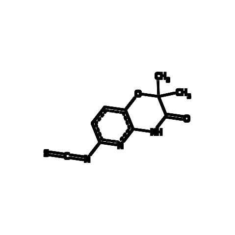 CC1(C)Oc2ccc(N=C=S)nc2NC1=O